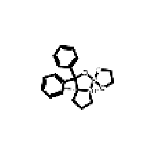 c1ccc(C2(c3ccccc3)O[B-]3(OCCO3)[NH+]3CCC[C@H]32)cc1